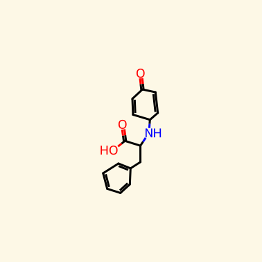 O=C1C=CC(NC(Cc2ccccc2)C(=O)O)C=C1